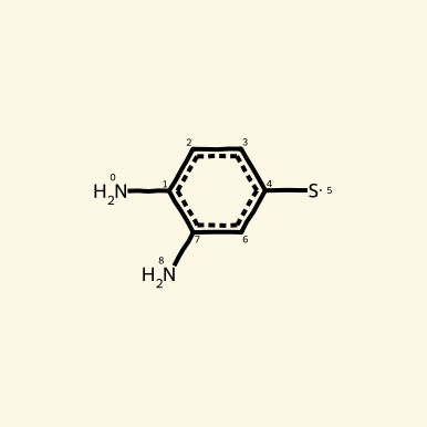 Nc1ccc([S])cc1N